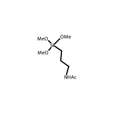 CO[Si](CCCNC(C)=O)(OC)OC